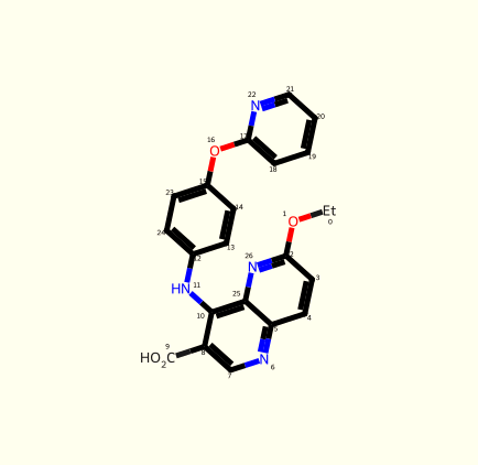 CCOc1ccc2ncc(C(=O)O)c(Nc3ccc(Oc4ccccn4)cc3)c2n1